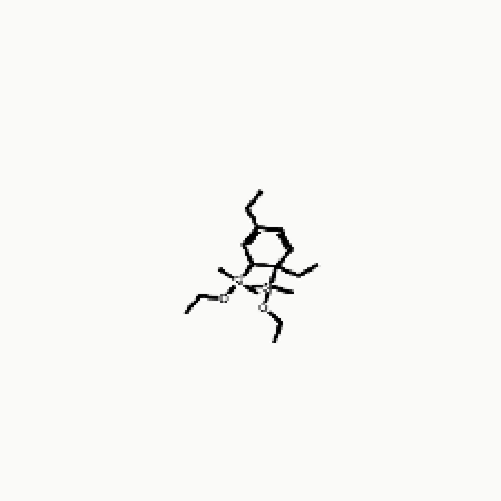 CCO[Si](C)(C)C1C=C(CC)C=CC1(CC)[Si](C)(C)OCC